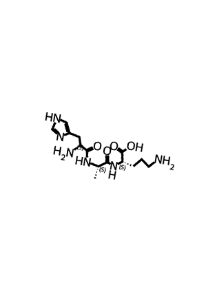 C[C@H](NC(=O)[C@@H](N)Cc1c[nH]cn1)C(=O)N[C@@H](CCCN)C(=O)O